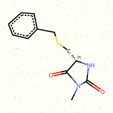 CN1C(=O)N[C@@H](CSCc2ccccc2)C1=O